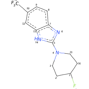 FC1CCN(c2nc3ccc(C(F)(F)F)cc3[nH]2)CC1